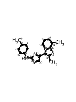 Cc1ccc(Nc2nc(-c3c(C)nc4c(C)cccn34)cs2)cc1